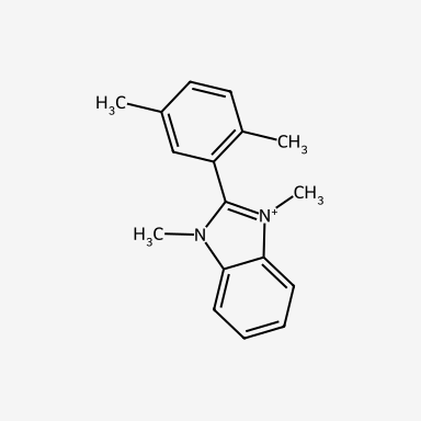 Cc1ccc(C)c(-c2n(C)c3ccccc3[n+]2C)c1